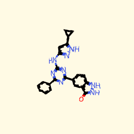 O=c1[nH][nH]c2ccc(-c3nc(Nc4cc(C5CC5)[nH]n4)nc(-c4ccccc4)n3)cc12